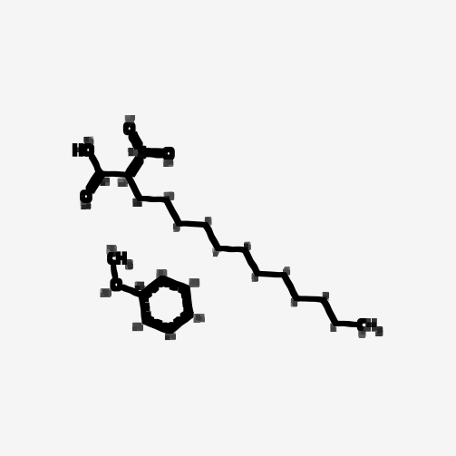 CCCCCCCCCCCCC(C(=O)O)=S(=O)=O.COc1ccccc1